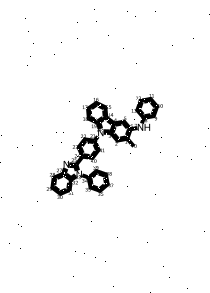 Cc1cc2c(cc1Nc1ccccc1)c1ccccc1n2-c1ccc(-c2nc3ccccc3n2-c2ccccc2)cc1